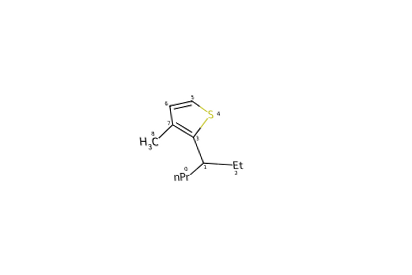 CCCC(CC)c1sccc1C